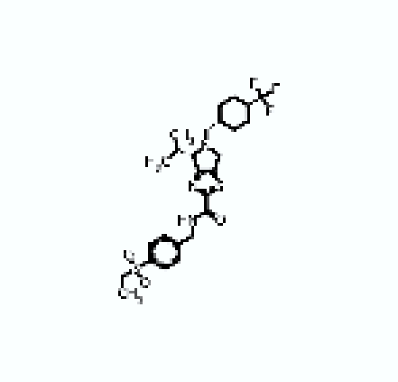 CCS(=O)(=O)c1ccc(CNC(=O)c2nc3c(s2)CN(C[C@H]2CC[C@H](C(F)(F)F)CC2)[C@H]3C(C)C)cc1